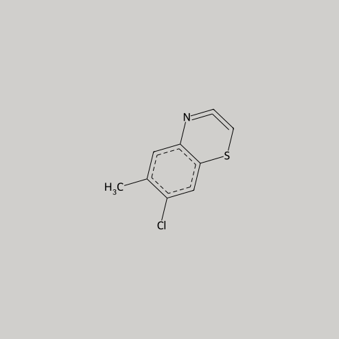 Cc1cc2c(cc1Cl)SC=C=N2